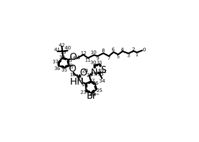 CCCCCCCCCCCCCCOc1c(OCC(=O)Nc2ccccc2C[n+]2ccsc2C)cccc1C(C)(C)C.[Br-]